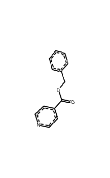 O=C(OCc1ccccc1)c1ccncc1